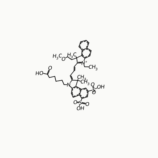 CC[N+]1=C(/C=C/C=C2/N(CCCCCC(=O)O)c3ccc4c(S(=O)(=O)O)cc(S(=O)(=O)O)cc4c3C2(C)C)C(C)(CCOC)c2c1ccc1ccccc21